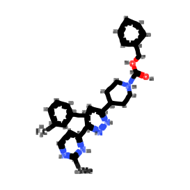 CSc1nccc(-c2nnc(C3CCN(C(=O)OCc4ccccc4)CC3)cc2-c2cccc(C(F)(F)F)c2)n1